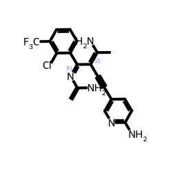 C=C(N)/N=C(\C(C#Cc1ccc(N)nc1)=C(\C)N)c1cccc(C(F)(F)F)c1Cl